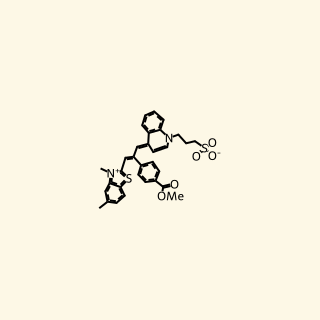 COC(=O)c1ccc(C(=C\c2sc3ccc(C)cc3[n+]2C)/C=C2\C=CN(CCCS(=O)(=O)[O-])c3ccccc32)cc1